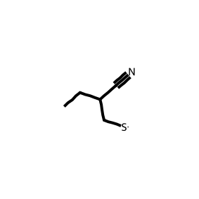 CCC(C#N)C[S]